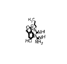 CCCCNC(=N)NC(=N)N.Cl.O=C1OCc2ccccc21